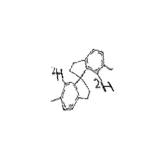 [2H]c1c(C)ccc2c1C1(CC2)CCc2ccc(C)c([2H])c21